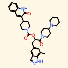 Cc1cc(C[C@@H](OC(=O)N2CCC(c3cc4ccccc4[nH]c3=O)CC2)C(=O)N2CCC(N3CCCCC3)CC2)cc2cn[nH]c12